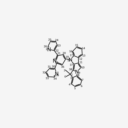 CC1(C)c2ccccc2-n2cc3c4ccccc4n(-c4cc(-c5ccccn5)nc(-c5ccccn5)c4)c3c21